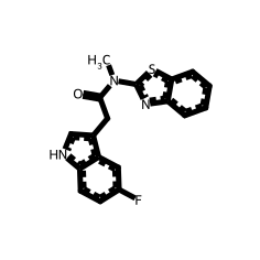 CN(C(=O)Cc1c[nH]c2ccc(F)cc12)c1nc2ccccc2s1